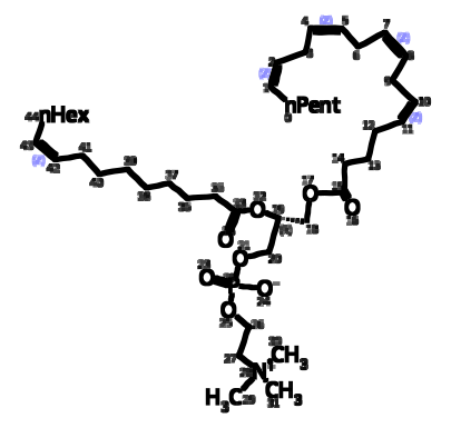 CCCCC/C=C\C/C=C\C/C=C\C/C=C\CCCC(=O)OC[C@H](COP(=O)([O-])OCC[N+](C)(C)C)OC(=O)CCCCCCC/C=C\CCCCCC